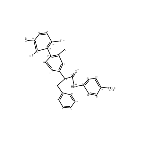 Cc1cc(C(Cc2ccccc2)C(=O)Nc2ccc(C(=O)O)cc2)ncc1-c1c(F)ccc(Cl)c1F